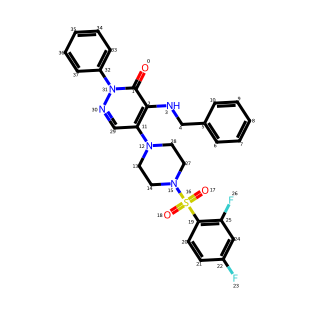 O=c1c(NCc2ccccc2)c(N2CCN(S(=O)(=O)c3ccc(F)cc3F)CC2)cnn1-c1ccccc1